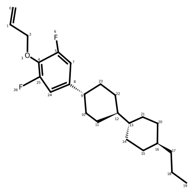 C=CCOc1c(F)cc([C@H]2CC[C@H]([C@H]3CC[C@H](CCC)CC3)CC2)cc1F